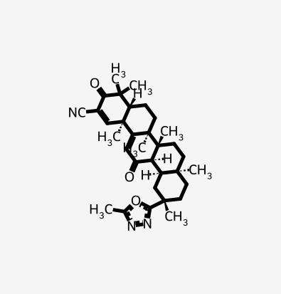 Cc1nnc([C@@]2(C)CC[C@]3(C)CC[C@]4(C)[C@H](C(=O)C=C5[C@@]6(C)C=C(C#N)C(=O)C(C)(C)[C@@H]6CC[C@]54C)[C@@H]3C2)o1